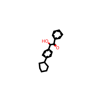 O=C(c1ccccc1)C(O)c1ccc(C2CCCCC2)cc1